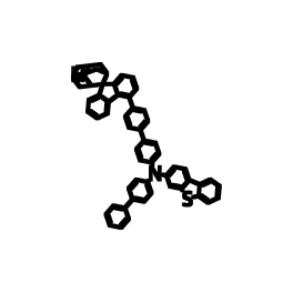 C[C@H]1C2CC3CC(C2)C2(c4ccccc4-c4c(-c5ccc(-c6ccc(N(c7ccc(-c8ccccc8)cc7)c7ccc8c(c7)sc7ccccc78)cc6)cc5)cccc42)C1C3